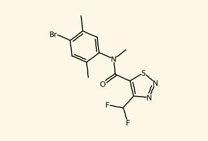 Cc1cc(N(C)C(=O)c2snnc2C(F)F)c(C)cc1Br